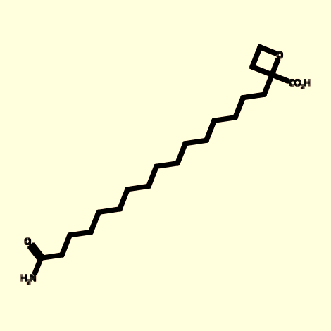 NC(=O)CCCCCCCCCCCCCCCC1(C(=O)O)CCO1